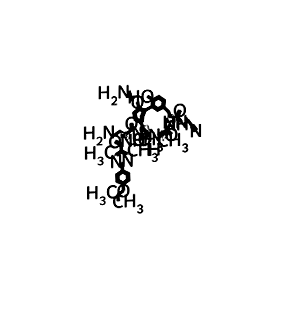 Cc1nc(-c2ccc(OC(C)C)cc2)nc(C)c1C(=O)N[C@@H](CCN)C(=O)N(C)[C@@H]1C(=O)N[C@@H](C)C(=O)N[C@H](C(=O)NCC#N)Cc2ccc(O)c(c2)-c2cc1ccc2OCCN